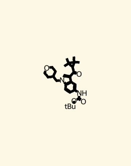 CC(C)(C)OC(=O)Nc1ccc2c(c1)c(C(=O)C1C(C)(C)C1(C)C)cn2CC1CCOCC1